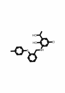 Cc1ccc(Sc2ccccc2CNc2cc(Cl)cc(C(C)O)c2O)cc1